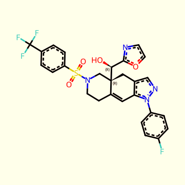 O=S(=O)(c1ccc(C(F)(F)F)cc1)N1CCC2=Cc3c(cnn3-c3ccc(F)cc3)C[C@]2([C@@H](O)c2ncco2)C1